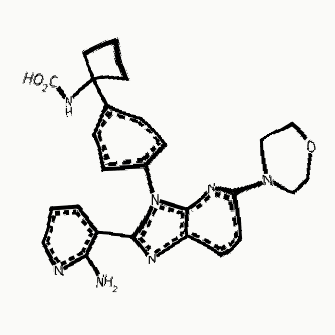 Nc1ncccc1-c1nc2ccc(N3CCOCC3)nc2n1-c1ccc(C2(NC(=O)O)CCC2)cc1